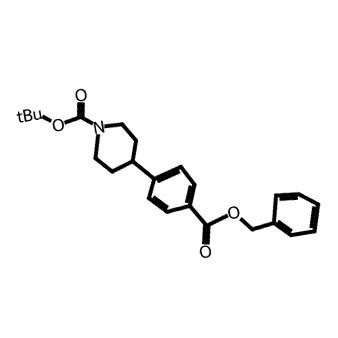 CC(C)(C)OC(=O)N1CCC(c2ccc(C(=O)OCc3ccccc3)cc2)CC1